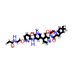 CCC(=O)NCCOc1cccc(Nc2cc(-c3ccnc(N4CCn5c(cc6c5CC(C)(C)C6)C4=O)c3CO)cn(C)c2=O)n1